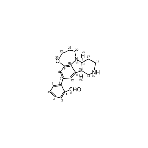 O=Cc1ccccc1-c1cc2c3c(c1)[C@@H]1CNCC[C@@H]1N3CCCO2